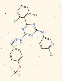 FC(F)(F)Oc1ccc(/C=N\Nc2nc(Nc3ccc(Cl)nc3)nc(-c3c(Cl)cccc3Cl)n2)cc1